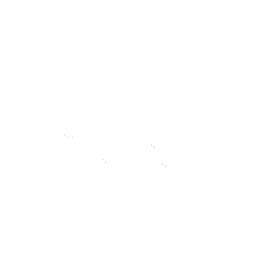 COc1ccc2nc([S+]([O-])Cc3ncc(C)c(OC)c3C)n(S(=O)(=O)c3c(C)cc(OCC(=O)O)cc3C)c2c1.[NaH]